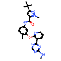 CNc1ncnc(-c2cccnc2Oc2cc(NC(=O)c3cc(C(C)(C)C)nn3C)ccc2C)n1